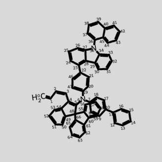 C=C/C=C\C1=C(N(c2ccc(-c3ccccc3)cc2)c2ccc(-c3cccc4c3c3ccccc3n4-c3cccc4ccccc34)cc2)C2(c3ccccc31)c1ccccc1-c1ccccc12